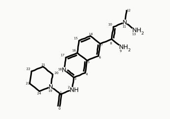 C=C(Nc1cc2cc(/C(N)=C/N(C)N)ccc2cn1)N1CCCCC1